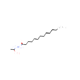 CCCCCCCCCCCCCCCCCCCCCC(=O)NNC(C)O